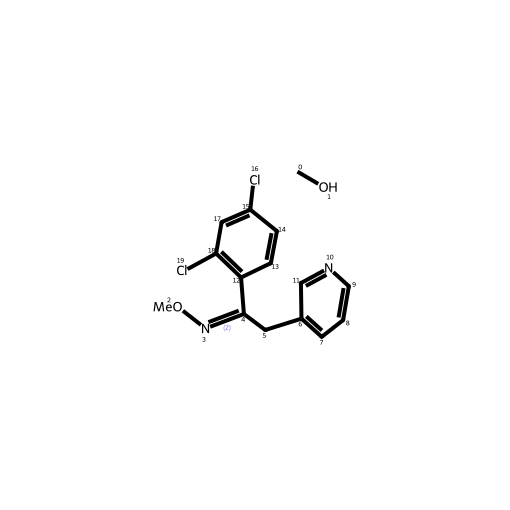 CO.CO/N=C(/Cc1cccnc1)c1ccc(Cl)cc1Cl